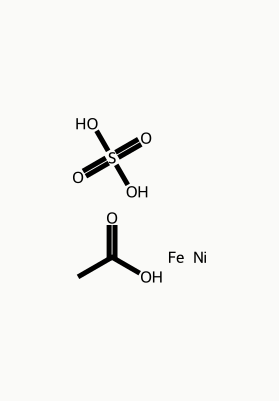 CC(=O)O.O=S(=O)(O)O.[Fe].[Ni]